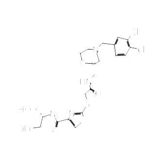 CC(C)C[C@H](NC(=O)c1csc(SCC(=O)NC[C@H]2CN(Cc3ccc(Cl)c(Cl)c3)CCO2)n1)C(=O)O